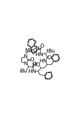 CCC(C)C(C(=O)NC(Cc1ccccc1)C(O)CC(Cc1ccccc1)NC(=O)C(NC(=O)OC)C(C)(C)C)N1CCN(Cc2ccnc3ccccc23)C1=O